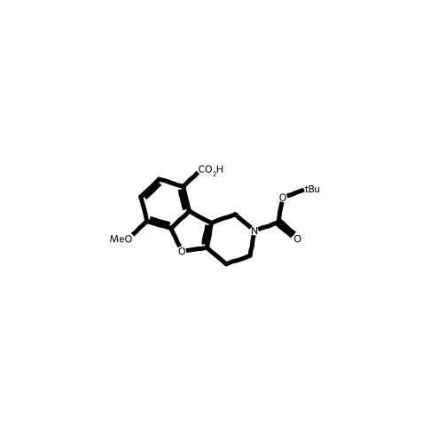 COc1ccc(C(=O)O)c2c3c(oc12)CCN(C(=O)OC(C)(C)C)C3